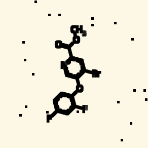 COC(=O)c1cc(Br)c(Oc2ccc(F)cc2F)cn1